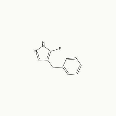 Fc1[nH]n[c]c1Cc1ccccc1